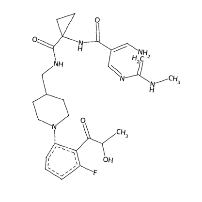 C=C(/N=C\C(=C/N)C(=O)NC1(C(=O)NCC2CCN(c3cccc(F)c3C(=O)C(C)O)CC2)CC1)NC